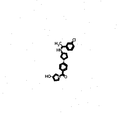 C[C@@H](NC1CC[C@H](c2ccc(C(=O)N3CC[C@H](O)C3)cc2)C1)c1cccc(Cl)c1